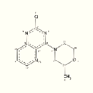 CC1CN(c2nc(Cl)nc3cccnc23)CCO1